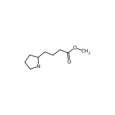 COC(=O)CCCC1CCC[N]1